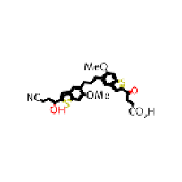 COc1cc2sc(C(=O)CCC(=O)O)cc2cc1CCCc1cc2cc(C(O)CCC#N)sc2cc1OC